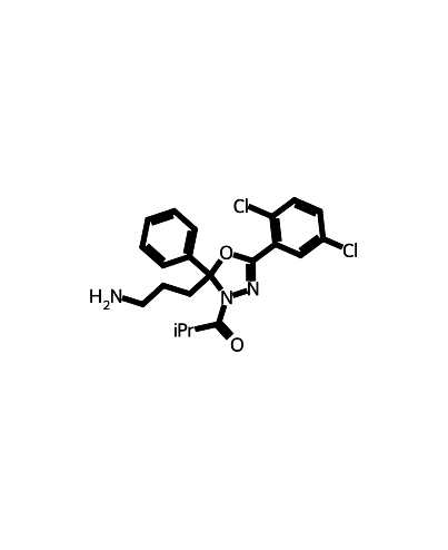 CC(C)C(=O)N1N=C(c2cc(Cl)ccc2Cl)OC1(CCCN)c1ccccc1